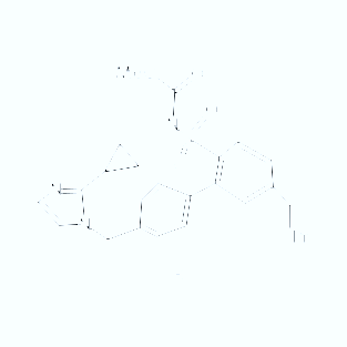 COC(=O)[N-]S(=O)(=O)c1ccc(CC(C)C)cc1-c1ccc(Cn2ccnc2C2CC2)cc1.[K+]